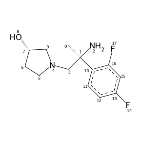 C[C@@](N)(CN1CC[C@H](O)C1)c1ccc(F)cc1F